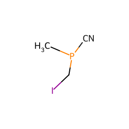 CP(C#N)CI